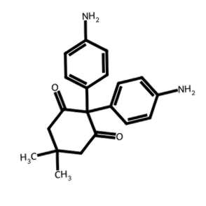 CC1(C)CC(=O)C(c2ccc(N)cc2)(c2ccc(N)cc2)C(=O)C1